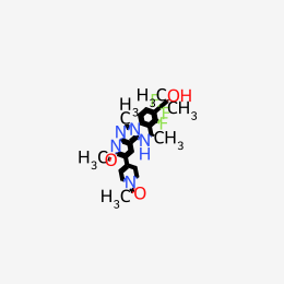 COc1nc2nc(C)nc(N[C@H](C)c3cccc(C(F)(F)C(C)(C)O)c3F)c2cc1C1=CCN(C(C)=O)CC1